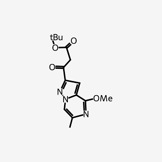 COc1nc(C)cn2nc(C(=O)CC(=O)OC(C)(C)C)cc12